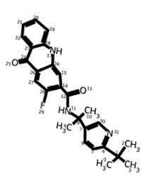 CC(C)(C)c1ccc(C(C)(C)NC(=O)c2cc3[nH]c4ccccc4c(=O)c3cc2F)cn1